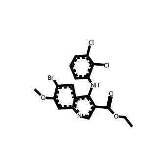 CCOC(=O)c1cnc2cc(OC)c(Br)cc2c1Nc1cccc(Cl)c1Cl